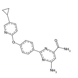 NC(=O)c1cc(N)nc(-c2ccc(Oc3ccc(C4CC4)cn3)cc2)n1